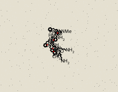 CNC(=O)CN(CC(Cc1ccccc1)NC(=O)C(Cc1ccccc1)NC(=O)CN(CC(Cc1ccccc1)NC(=O)C(Cc1ccccc1)NC(=O)CN(CC(CCCCN)NC(=O)C(CCCCN)NC(C)C)S(=O)(=O)c1ccc(C)cc1)S(=O)(=O)CCN)S(=O)(=O)CCN